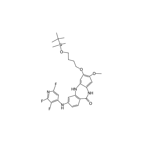 COc1cc2c(cc1OCCCCO[Si](C)(C)C(C)(C)C)Nc1cc(Nc3cc(F)nc(F)c3F)ccc1C(=O)N2